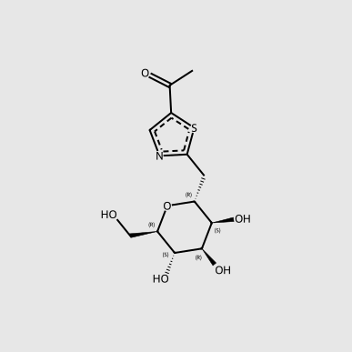 CC(=O)c1cnc(C[C@H]2O[C@H](CO)[C@@H](O)[C@H](O)[C@@H]2O)s1